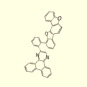 c1ccc(-c2cccc3c2oc2c3ccc3oc4ccccc4c32)c(-c2cnc3c4ccccc4c4ccccc4c3n2)c1